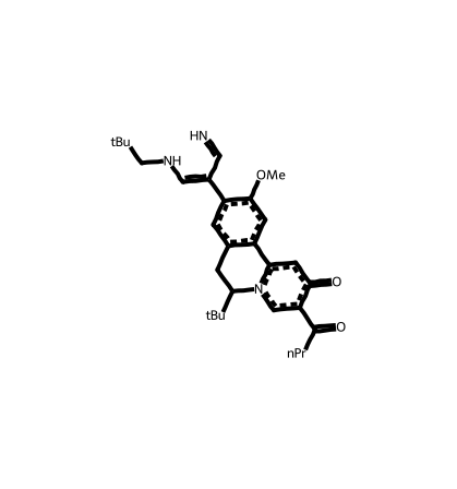 CCCC(=O)c1cn2c(cc1=O)-c1cc(OC)c(/C(C=N)=C/NCC(C)(C)C)cc1CC2C(C)(C)C